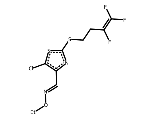 CCON=Cc1nc(SCCC(F)=C(F)F)sc1Cl